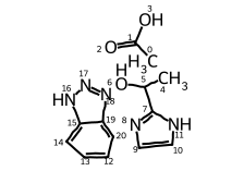 CC(=O)O.CC(O)c1ncc[nH]1.c1ccc2[nH]nnc2c1